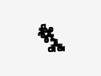 CC1(CCl)OC(=O)C(=C/C=C/N(CC#N)CC#N)C(=O)O1